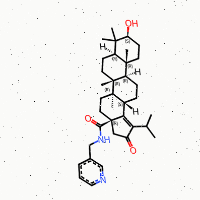 CC(C)C1=C2[C@H]3CC[C@@H]4[C@@]5(C)CC[C@H](O)C(C)(C)[C@@H]5CC[C@@]4(C)[C@]3(C)CC[C@@]2(C(=O)NCc2cccnc2)CC1=O